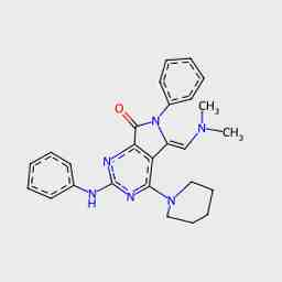 CN(C)C=C1c2c(nc(Nc3ccccc3)nc2N2CCCCC2)C(=O)N1c1ccccc1